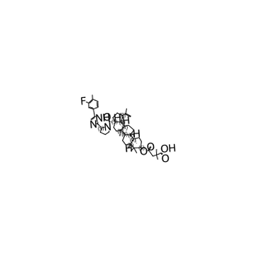 C=C(C)[C@@H]1CC[C@]2(C(=O)N3CCC[C@H]3c3ncc(-c4ccc(C)c(F)c4)[nH]3)CC[C@]3(C)[C@H](CC[C@@H]4[C@@]5(C)CC[C@H](OC(=O)CC(C)(C)C(=O)O)C(C)(C)[C@@H]5CC[C@]43C)[C@@H]12